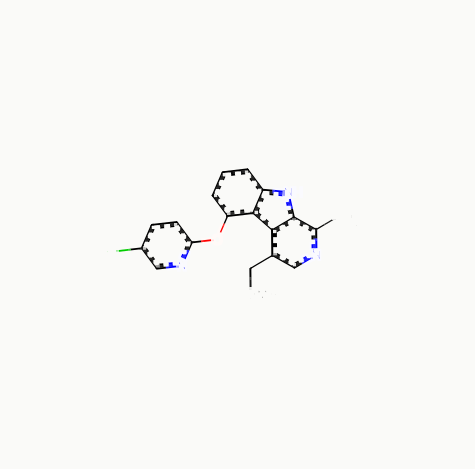 COCc1cnc(C(=O)O)c2[nH]c3cccc(Oc4ccc(Cl)cn4)c3c12